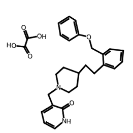 O=C(O)C(=O)O.O=c1[nH]cccc1CN1CCC(CCc2ccccc2COc2ccccc2)CC1